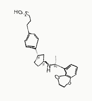 C[C@@H](N[C@H]1CC[C@H](c2ccc(CCC(=O)O)cc2)C1)c1cccc2c1OCCO2